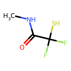 CNC(=O)C(F)(F)S